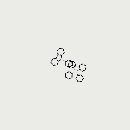 N#Cc1ccc2c(c1)c1ccccc1n2-c1ccc(C#N)c(-c2ccccc2[Si](c2ccccc2)(c2ccccc2)c2ccccc2)c1